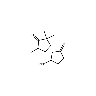 CC1CCC(C)(C)C1=O.CCCC1CCC(=O)C1